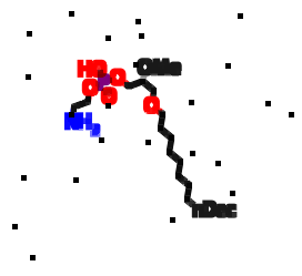 CCCCCCCCCCCCCCCCCCOC[C@H](COP(=O)(O)OCCN)OC